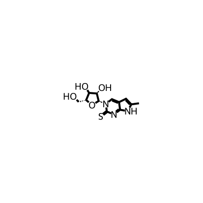 Cc1cc2cn([C@@H]3O[C@H](CO)C(O)[C@@H]3O)c(=S)nc2[nH]1